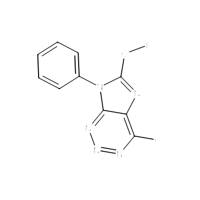 Clc1nnnc2c1nc(OI)n2-c1ccccc1